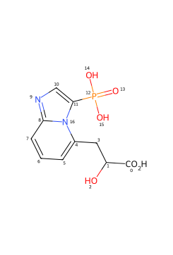 O=C(O)C(O)Cc1cccc2ncc(P(=O)(O)O)n12